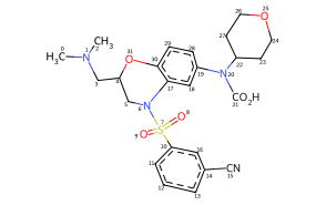 CN(C)CC1CN(S(=O)(=O)c2cccc(C#N)c2)c2cc(N(C(=O)O)C3CCOCC3)ccc2O1